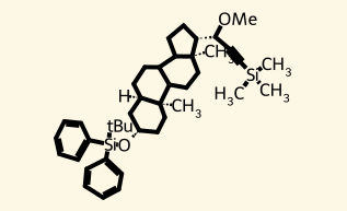 COC(C#C[Si](C)(C)C)[C@H]1CCC2C3CC[C@@H]4C[C@@H](O[Si](c5ccccc5)(c5ccccc5)C(C)(C)C)CC[C@]4(C)C3CC[C@@]21C